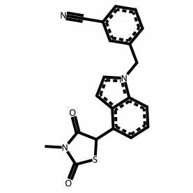 CN1C(=O)SC(c2cccc3c2ccn3Cc2cccc(C#N)c2)C1=O